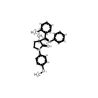 COc1ccc(N2CC[C@@](C)(C(=Nc3ccccc3)c3ccccc3C)C2=O)cc1